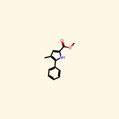 COC(=O)c1cc(C)c(-c2ccccc2)[nH]1